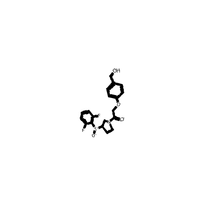 O=C(COc1ccc(CO)cc1)N1CCC([S+]([O-])c2c(F)cccc2F)C1